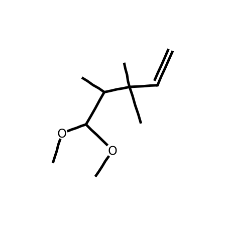 C=CC(C)(C)C(C)C(OC)OC